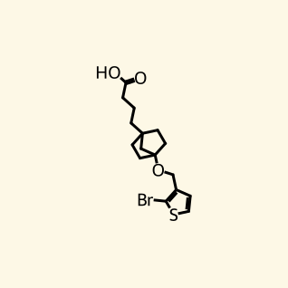 O=C(O)CCCC12CCC(OCc3ccsc3Br)(CC1)C2